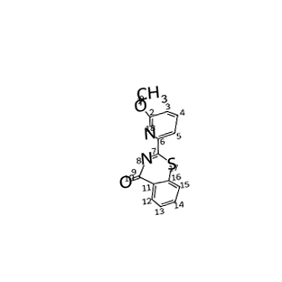 COc1cccc(-c2nc(=O)c3ccccc3s2)n1